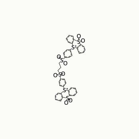 O=S(=O)(CCCS(=O)(=O)c1ccc([S+]2c3ccccc3S(=O)(=O)c3ccccc32)cc1)c1ccc([S+]2c3ccccc3S(=O)(=O)c3ccccc32)cc1